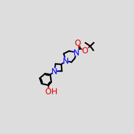 CC(C)(C)OC(=O)N1CCN(C2CN(c3cccc(O)c3)C2)CC1